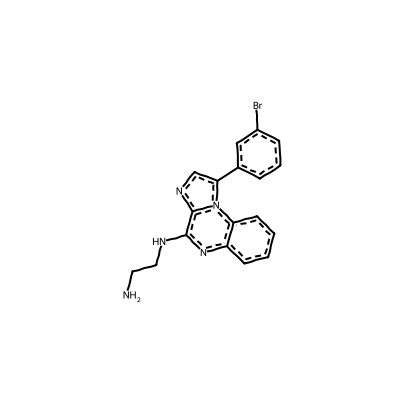 NCCNc1nc2ccccc2n2c(-c3cccc(Br)c3)cnc12